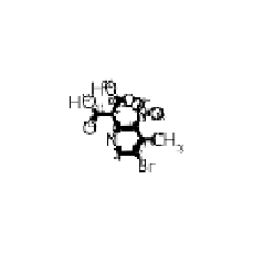 Cc1c(Br)cnc(C(C(=O)O)C(=O)O)c1[N+](=O)[O-]